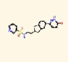 O=c1ccc(-c2ccc3c(c2)CC(CCNS(=O)(=O)c2cccnc2)C3)n[nH]1